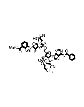 C=CCOP(=O)(OCCC#N)O[C@H]1[C@@H](CF)[C@H](n2cnc3c(NC(=O)c4ccccc4)ncnc32)O[C@@H]1COP(=S)(OCCC#N)O[C@H]1[C@@H](F)[C@H](n2nnc3c(C(=O)OC)cccc32)O[C@@H]1CO